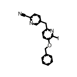 N#Cc1ccc(Cc2ccc(OCc3ccccc3)c(I)n2)cn1